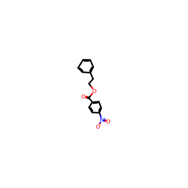 O=C(OCCc1ccccc1)c1ccc([N+](=O)[O-])cc1